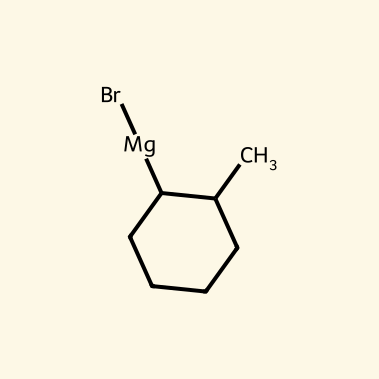 CC1CCCC[CH]1[Mg][Br]